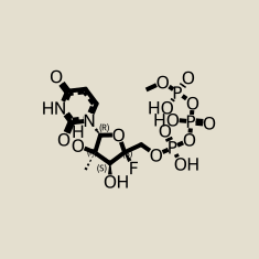 COP(=O)(O)OP(=O)(O)OP(=O)(O)OC[C@@]1(F)O[C@@H](n2ccc(=O)[nH]c2=O)[C@](C)(O)[C@@H]1O